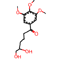 COc1cc(C(=O)CCCC(O)CO)cc(OC)c1OC